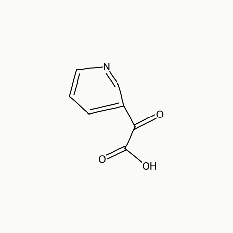 O=C(O)C(=O)c1cccnc1